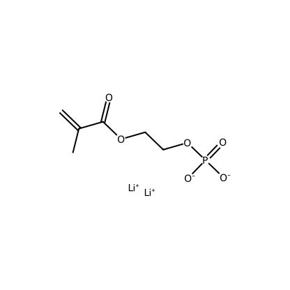 C=C(C)C(=O)OCCOP(=O)([O-])[O-].[Li+].[Li+]